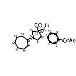 COc1ccc([C@@H]2CN(C3CCCCCC3)C[C@@]2(C)C(=O)O)cc1